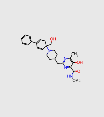 CC(=O)ONC(=O)c1nc(CC2CCN(C3(CO)C=CC(c4ccccc4)=CC3)CC2)nc(C)c1O